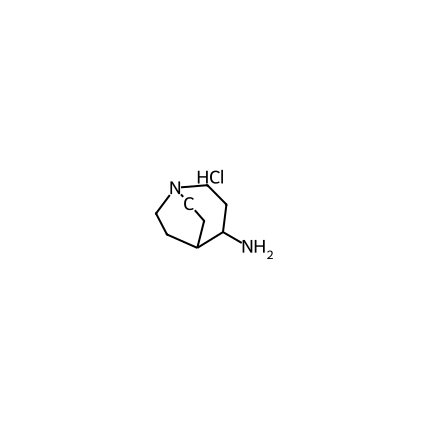 Cl.NC1CCN2CCC1CC2